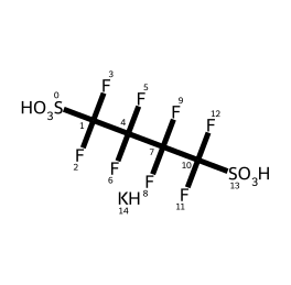 O=S(=O)(O)C(F)(F)C(F)(F)C(F)(F)C(F)(F)S(=O)(=O)O.[KH]